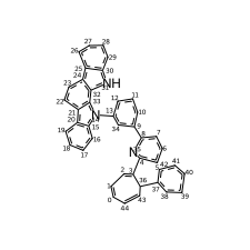 C1=CC=C(c2cccc(-c3cccc(-n4c5ccccc5c5ccc6c7ccccc7[nH]c6c54)c3)n2)C(c2ccccc2)C=C1